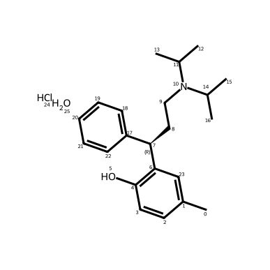 Cc1ccc(O)c([C@H](CCN(C(C)C)C(C)C)c2ccccc2)c1.Cl.O